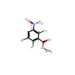 COC(=O)c1c(F)c(F)cc([N+](=O)[O-])c1F